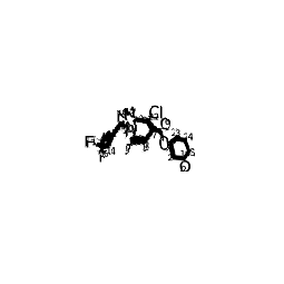 O=C1C=C(OC(=O)c2ccn3c(C4C5C4C5(F)F)nnc3c2Cl)CCC1